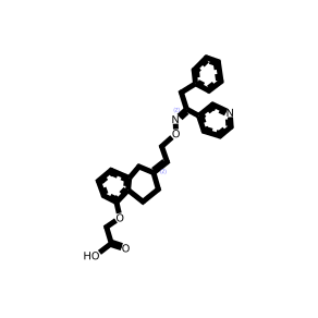 O=C(O)COc1cccc2c1CC/C(=C/CO/N=C(/Cc1ccccc1)c1cccnc1)C2